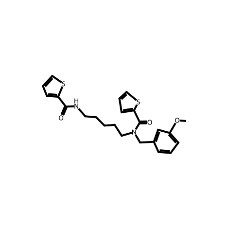 COc1cccc(CN(CCCCCNC(=O)c2cccs2)C(=O)c2cccs2)c1